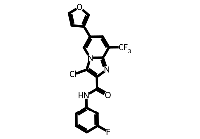 O=C(Nc1cccc(F)c1)c1nc2c(C(F)(F)F)cc(-c3ccoc3)cn2c1Cl